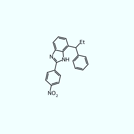 CCC(c1ccccc1)c1cccc2nc(-c3ccc([N+](=O)[O-])cc3)[nH]c12